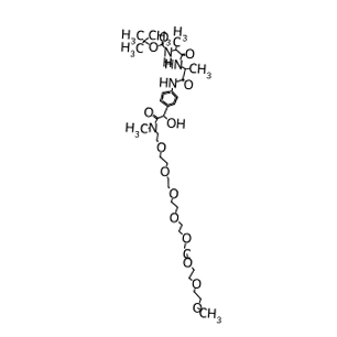 COCCOCCOCCOCCOCCOCCOCCOCCN(C)C(=O)C(O)c1ccc(NC(=O)[C@H](C)NC(=O)[C@H](C)NC(=O)OC(C)(C)C)cc1